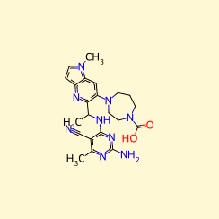 Cc1nc(N)nc(NC(C)c2nc3ccn(C)c3cc2N2CCCN(C(=O)O)CC2)c1C#N